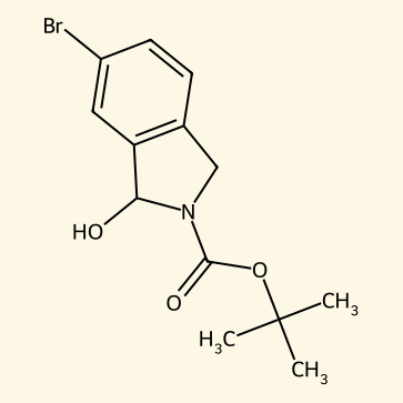 CC(C)(C)OC(=O)N1Cc2ccc(Br)cc2C1O